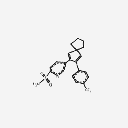 NS(=O)(=O)c1ccc(C2=CC3(C=C2c2ccc(C(F)(F)F)cc2)CCCC3)cn1